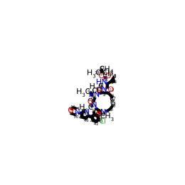 CC(C)C[C@@H]1NC(=O)[C@@H](N(C)C(=O)[C@@H](NC(=O)OC(C)(C)C)C2CC2)CCCCCCCN(C)C(=O)[C@H](Cc2cc(Cl)ccc2-c2ccc(N3CCOCC3)cn2)N(C)C1=O